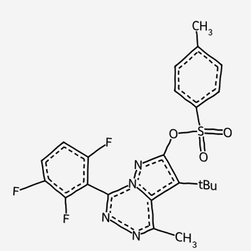 Cc1ccc(S(=O)(=O)Oc2nn3c(-c4c(F)ccc(F)c4F)nnc(C)c3c2C(C)(C)C)cc1